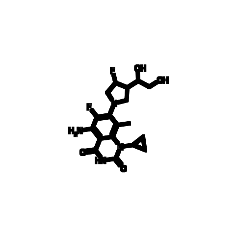 Cc1c(N2CC(F)C(C(O)CO)C2)c(F)c(N)c2c(=O)[nH]c(=O)n(C3CC3)c12